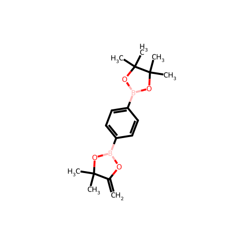 C=C1OB(c2ccc(B3OC(C)(C)C(C)(C)O3)cc2)OC1(C)C